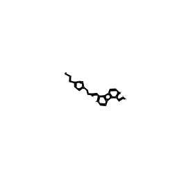 CCCCc1ccc(CCc2cc3c4c(ccc3s2)-c2c-4ccc3sc(F)cc23)cc1